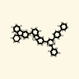 c1ccc(-c2ccc(-c3cc(-c4ccc5oc6c(-c7ccc8c(c7)-c7ccccc7C87CCCCC7)cccc6c5c4)nc(-c4ccccc4)n3)cc2)cc1